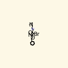 CN(C)C/C=C/c1onc(OCc2ccccc2)c1Br